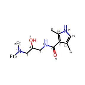 CCN(CC)CC(O)CNC(=O)c1c(C)c[nH]c1C